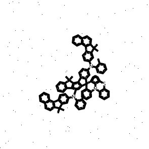 Cc1ccccc1N(c1ccc2c(c1)C(C)(C)c1ccc3ccccc3c1-2)c1ccc2c(c1)C1(c3ccccc3N3c4ccccc4Sc4cccc1c43)c1cc(N(c3ccc4c(c3)C(C)(C)c3ccc5ccccc5c3-4)c3ccccc3C)c3c(c1-2)C(C)(C)c1ccccc1-3